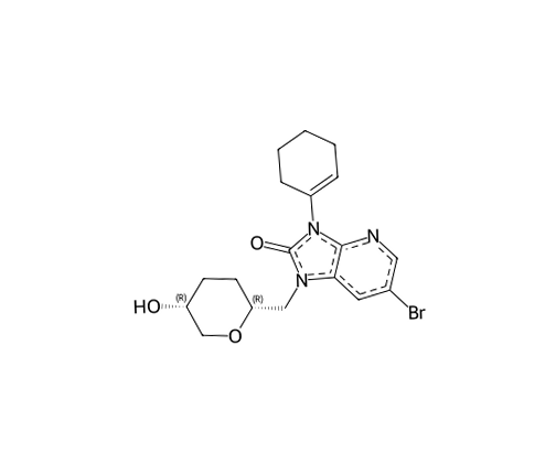 O=c1n(C[C@H]2CC[C@@H](O)CO2)c2cc(Br)cnc2n1C1=CCCCC1